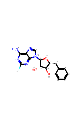 Nc1nc(F)nc2c1ncn2C1O[C@H](Cc2[c]cccc2)[C@@H](O)[C@@H]1O